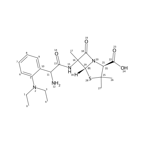 CCN(CC)c1ccccc1C(N)C(=O)NC1(C)C(=O)N2[C@@H](C(=O)O)C(C)(C)S[C@@H]21